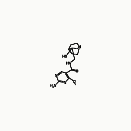 COc1nc(N)ncc1C(=O)NCC1(O)CN2CCC1CC2